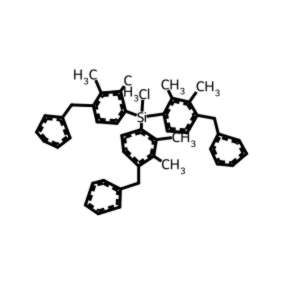 Cc1c(Cc2ccccc2)ccc([Si](Cl)(c2ccc(Cc3ccccc3)c(C)c2C)c2ccc(Cc3ccccc3)c(C)c2C)c1C